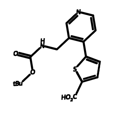 CC(C)(C)OC(=O)NCc1cnccc1-c1ccc(C(=O)O)s1